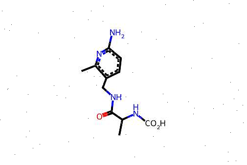 Cc1nc(N)ccc1CNC(=O)C(C)NC(=O)O